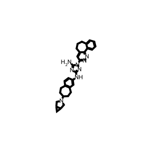 Nc1nc(Nc2ccc3c(c2)CCC(N2CC4CC4C2)CC3)nn1-c1cc2c(nn1)-c1ccccc1CCC2